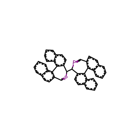 C1=PC(C2P=Cc3ccc4ccccc4c3-c3c2ccc2ccccc32)c2ccc3ccccc3c2-c2c1ccc1ccccc21